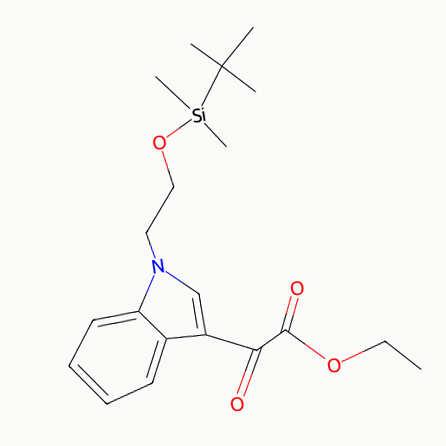 CCOC(=O)C(=O)c1cn(CCO[Si](C)(C)C(C)(C)C)c2ccccc12